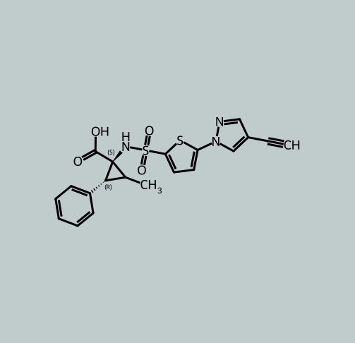 C#Cc1cnn(-c2ccc(S(=O)(=O)N[C@@]3(C(=O)O)C(C)[C@@H]3c3ccccc3)s2)c1